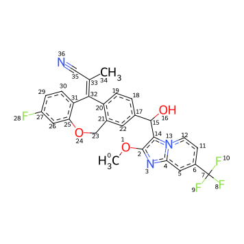 COc1nc2cc(C(F)(F)F)ccn2c1C(O)c1ccc2c(c1)COc1cc(F)ccc1C2=C(C)C#N